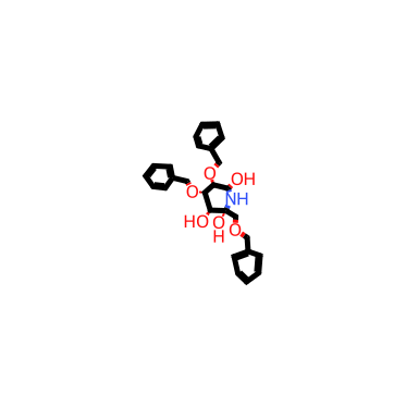 OC1N[C@@](O)(COCc2ccccc2)[C@@H](O)[C@H](OCc2ccccc2)[C@H]1OCc1ccccc1